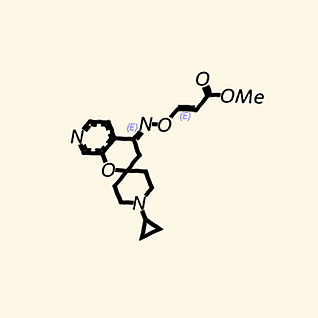 COC(=O)/C=C/O/N=C1\CC2(CCN(C3CC3)CC2)Oc2cnccc21